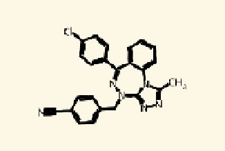 Cc1nnc2n1-c1ccccc1C(c1ccc(Cl)cc1)=NN2Cc1ccc(C#N)cc1